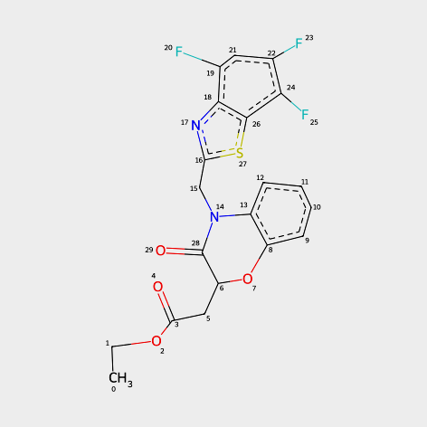 CCOC(=O)CC1Oc2ccccc2N(Cc2nc3c(F)cc(F)c(F)c3s2)C1=O